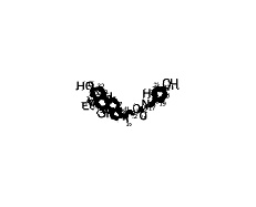 CC[C@H]1[C@@H](O)C2[C@@H]3CC[C@H]([C@H](C)CCOC(=O)NCc4ccc(O)cc4)C3(C)CC[C@@H]2[C@]2(C)CC[C@@H](O)C[C@@H]12